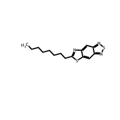 CCCCCCCCc1nc2cc3nsnc3cc2s1